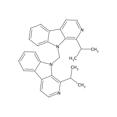 CC(C)c1nccc2c3ccccc3n(Cn3c4ccccc4c4ccnc(C(C)C)c43)c12